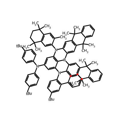 Cc1cc2c(cc1N1c3cc4c(cc3B3c5cc6c(cc5N(c5ccc(C(C)(C)C)cc5-c5ccccc5)c5cc(N(c7ccc(C(C)(C)C)cc7)c7ccc(C(C)(C)C)cc7)cc1c53)C(C)(C)c1ccccc1C6(C)C)C(C)(C)c1ccccc1C4(C)C)C(C)(C)CCC2(C)C